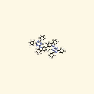 c1ccc(-c2nc(-c3ccccc3)nc(-n3c4ccccc4c4cc5c6c(c43)CCc3cc4c7ccccc7n(-c7nc(-c8ccccc8)nc(-c8ccccc8)n7)c4c(c3-6)CC5)n2)cc1